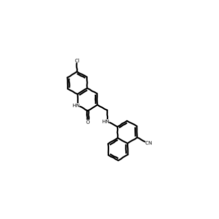 N#Cc1ccc(NCc2cc3cc(Cl)ccc3[nH]c2=O)c2ccccc12